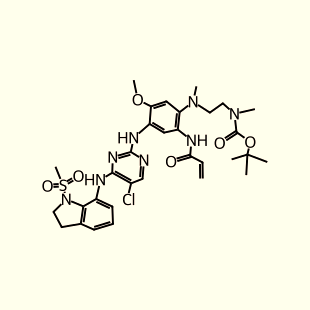 C=CC(=O)Nc1cc(Nc2ncc(Cl)c(Nc3cccc4c3N(S(C)(=O)=O)CC4)n2)c(OC)cc1N(C)CCN(C)C(=O)OC(C)(C)C